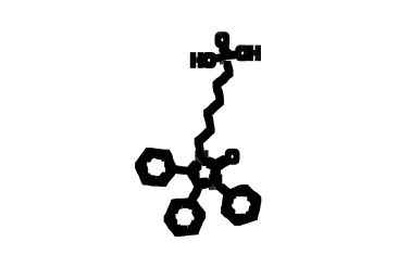 O=c1n(CCCCCCP(=O)(O)O)c(-c2ccccc2)c(-c2ccccc2)n1-c1ccccc1